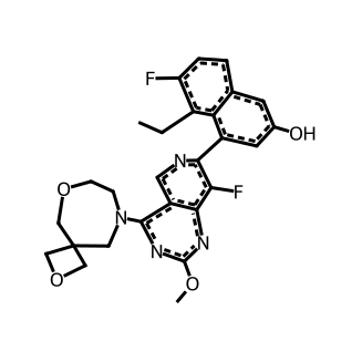 CCc1c(F)ccc2cc(O)cc(-c3ncc4c(N5CCOCC6(COC6)C5)nc(OC)nc4c3F)c12